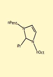 CCCCCCCCN1C=CN(CCCCC)C1C(C)C